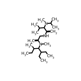 C=C(NCC(=C)N(C)C(C(C)CC)C(CC)CC)C(C(C)C)N(C)C(C)C